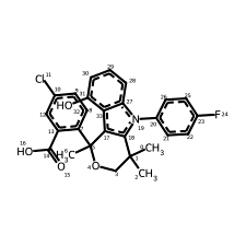 CC1(C)COC(C)(c2ccc(Cl)cc2C(=O)O)c2c1n(-c1ccc(F)cc1)c1cccc(O)c21